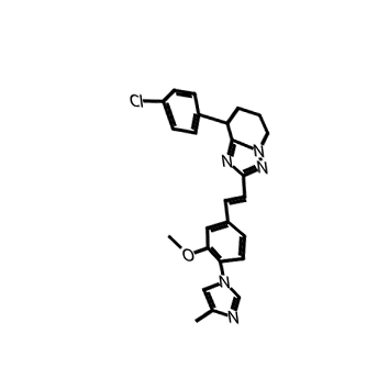 COc1cc(C=Cc2nc3n(n2)CCCC3c2ccc(Cl)cc2)ccc1-n1cnc(C)c1